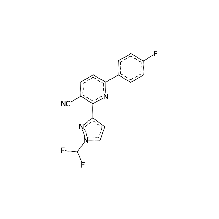 N#Cc1ccc(-c2ccc(F)cc2)nc1-c1ccn(C(F)F)n1